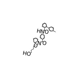 Cc1ccc(-c2ccccc2C(=O)Nc2ccc(C(=O)N(C)c3ccccc3OCCCCO)cc2)cc1